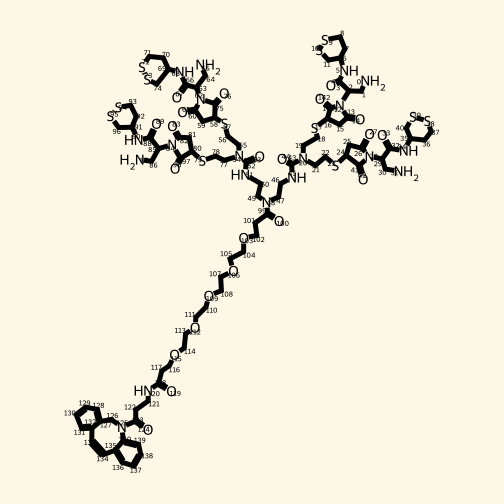 NCC(C(=O)NC1CCSSC1)N1C(=O)CC(SCCN(CCSC2CC(=O)N(C(CN)C(=O)NC3CCSSC3)C2=O)C(=O)NCCN(CCNC(=O)N(CCSC2CC(=O)N(C(CN)C(=O)NC3CCSSC3)C2=O)CCSC2CC(=O)N(C(CN)C(=O)NC3CCSSC3)C2=O)C(=O)CCOCCOCCOCCOCCOCCC(=O)NCCC(=O)N2Cc3ccccc3C#Cc3ccccc32)C1=O